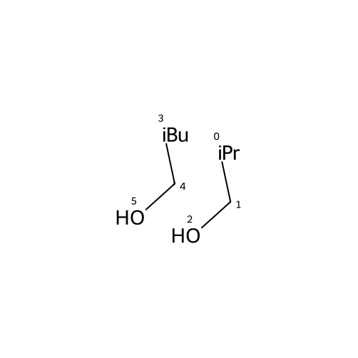 CC(C)CO.CCC(C)CO